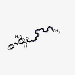 CC/C=C\C/C=C\C/C=C\C/C=C\C/C=C\C/C=C\CCC(=O)NCCN(CCN1CCOCC1)CC(N)=O